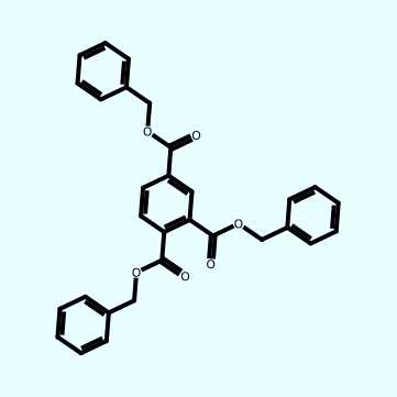 O=C(OCc1ccccc1)c1ccc(C(=O)OCc2ccccc2)c(C(=O)OCc2ccccc2)c1